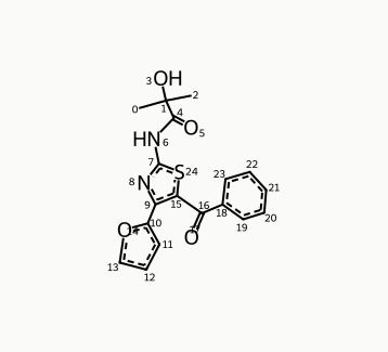 CC(C)(O)C(=O)Nc1nc(-c2ccco2)c(C(=O)c2ccccc2)s1